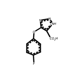 O=C(O)c1[nH]nnc1Oc1ccc(F)cc1